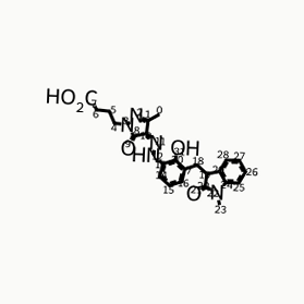 CC1=NN(CCCC(=O)O)C(=O)/C1=N\Nc1cccc(CC2C(=O)N(C)c3ccccc32)c1O